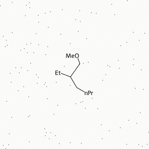 CCCCC(CC)COC